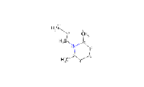 CC1CCCC(C)N1[SiH2]C[SiH3]